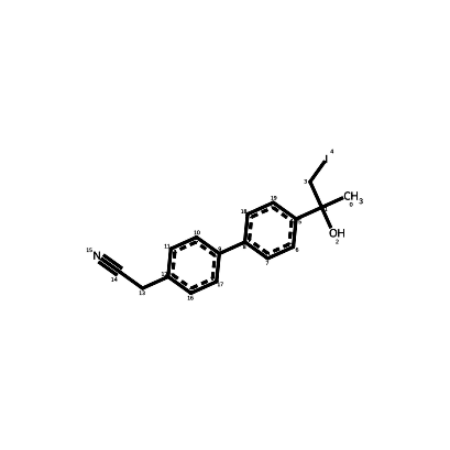 CC(O)(CI)c1ccc(-c2ccc(CC#N)cc2)cc1